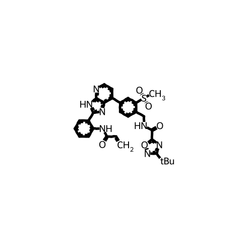 C=CC(=O)Nc1ccccc1-c1nc2c(-c3ccc(CNC(=O)c4nc(C(C)(C)C)no4)c(S(C)(=O)=O)c3)ccnc2[nH]1